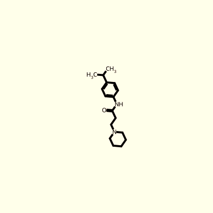 CC(C)c1ccc(NC(=O)CCN2CCCCC2)cc1